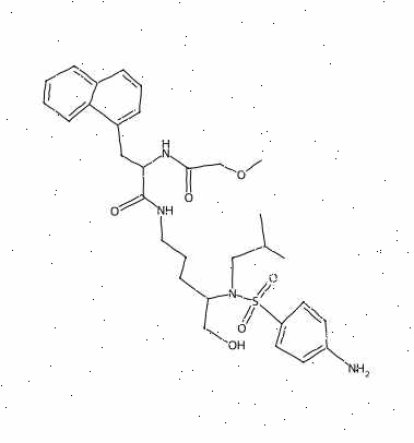 COCC(=O)NC(Cc1cccc2ccccc12)C(=O)NCCCC(CO)N(CC(C)C)S(=O)(=O)c1ccc(N)cc1